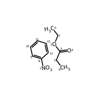 CCOC(=O)CC.O=[N+]([O-])c1ccccc1